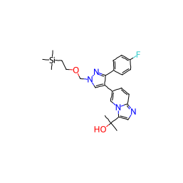 CC(C)(O)c1cnc2ccc(-c3cn(COCC[Si](C)(C)C)nc3-c3ccc(F)cc3)cn12